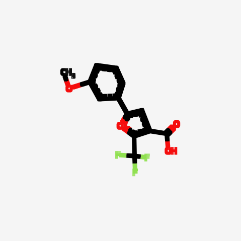 COc1cccc(-c2cc(C(=O)O)c(C(F)(F)F)o2)c1